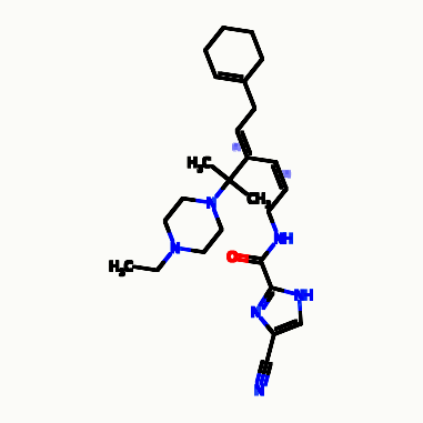 CCN1CCN(C(C)(C)C(/C=C\CNC(=O)c2nc(C#N)c[nH]2)=C/CC2=CCCCC2)CC1